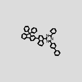 c1ccc(-c2ccc(-c3nc(-c4ccccc4)nc(-c4ccc(-c5ccc6c(c5)C(c5ccccc5)(c5ccccc5)c5ccccc5-6)c5ccccc45)n3)cc2)cc1